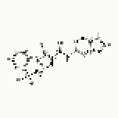 Cc1cc(C(=O)Nc2ccc3[nH]ncc3c2)c(C)n1-c1ccccc1C(F)(F)F